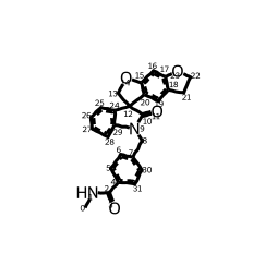 CNC(=O)c1ccc(CN2C(=O)C3(COc4cc5c(cc43)CCO5)c3ccccc32)cc1